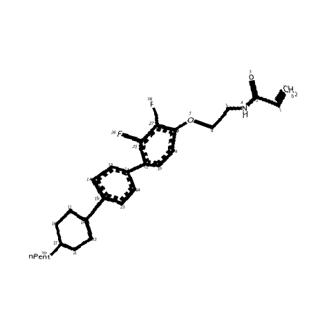 C=CC(=O)NCCOc1ccc(-c2ccc(C3CCC(CCCCC)CC3)cc2)c(F)c1F